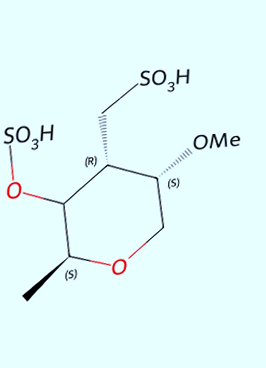 CO[C@@H]1CO[C@@H](C)C(OS(=O)(=O)O)[C@@H]1CS(=O)(=O)O